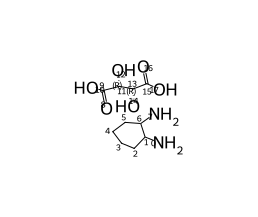 NC1CCCCC1N.O=C(O)[C@H](O)[C@@H](O)C(=O)O